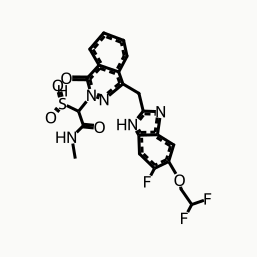 CNC(=O)C(n1nc(Cc2nc3cc(OCC(F)F)c(F)cc3[nH]2)c2ccccc2c1=O)[SH](=O)=O